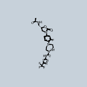 CC(=O)NC[C@H]1CN(c2ccc(N3CCNN(C(=O)Nc4nnc(C(F)(F)F)s4)CC3)c(F)c2)C(=O)O1